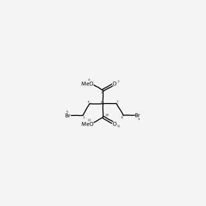 COC(=O)C(CCBr)(CCBr)C(=O)OC